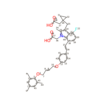 Cc1cc(C)c(OCC=CCOc2ccc(C=Cc3ccc(F)c4c(CC5(CC(=O)O)CC5)c(C)n(CC(=O)O)c34)cc2)c(C)c1